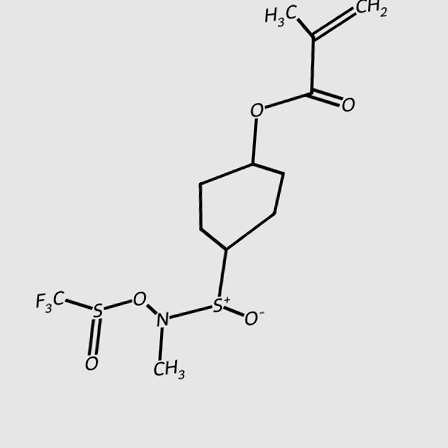 C=C(C)C(=O)OC1CCC([S+]([O-])N(C)OS(=O)C(F)(F)F)CC1